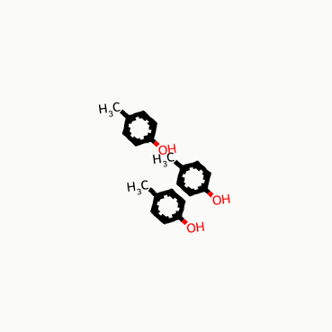 Cc1ccc(O)cc1.Cc1ccc(O)cc1.Cc1ccc(O)cc1